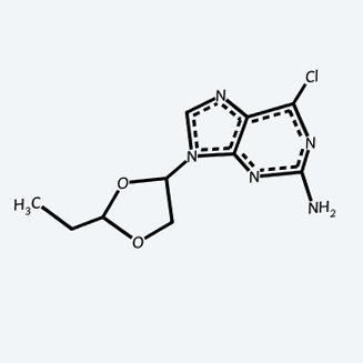 CCC1OCC(n2cnc3c(Cl)nc(N)nc32)O1